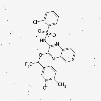 Cc1ccc(C(Oc2nc3ccccc3nc2NS(=O)(=O)c2ccccc2Cl)C(F)(F)F)c[n+]1[O-]